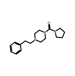 O=C(N1CCCC1)N1CCN(CCc2ccccc2)CC1